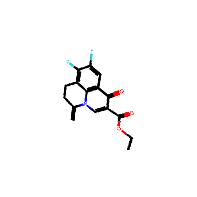 C=C1CCc2c(F)c(F)cc3c(=O)c(C(=O)OCC)cn1c23